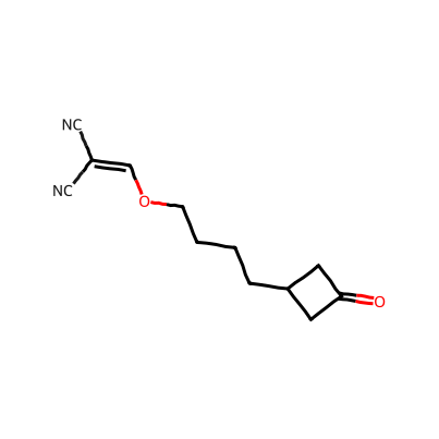 N#CC(C#N)=COCCCCC1CC(=O)C1